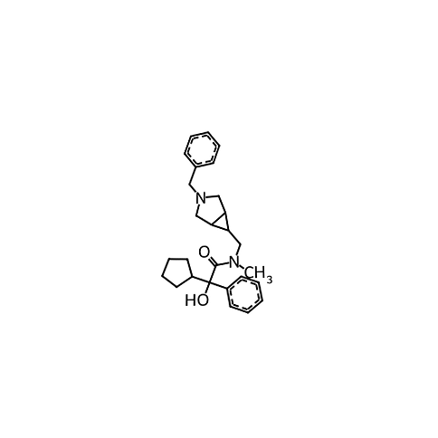 CN(CC1C2CN(Cc3ccccc3)CC21)C(=O)C(O)(c1ccccc1)C1CCCC1